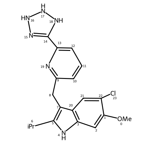 COc1cc2[nH]c(C(C)C)c(Cc3cccc(C4=NNNN4)n3)c2cc1Cl